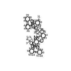 CCC(C)(CC)Oc1ccc(Oc2cccc(C(CC)(CC)C(C)(CC)Oc3ccc(C)cc3P3(=O)Oc4ccccc4-c4ccccc43)c2C#N)cc1P1(=O)Oc2ccccc2-c2ccccc21